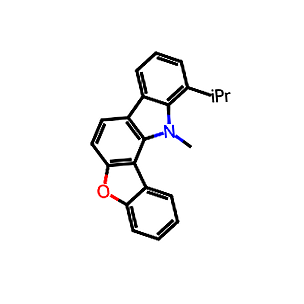 CC(C)c1cccc2c3ccc4oc5ccccc5c4c3n(C)c12